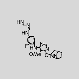 COc1c(Nc2ccc(N/C=N\C=N)cc2F)ncnc1OC1CC2CCC(C1)N2